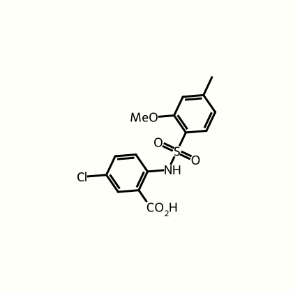 COc1cc(C)ccc1S(=O)(=O)Nc1ccc(Cl)cc1C(=O)O